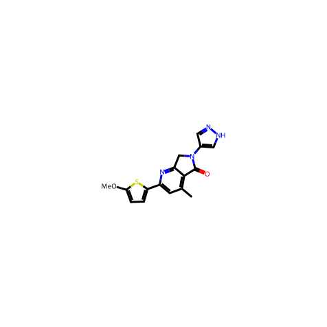 COc1ccc(-c2cc(C)c3c(n2)CN(c2cn[nH]c2)C3=O)s1